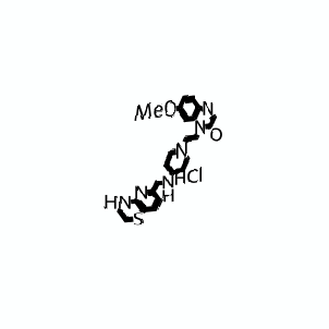 COc1ccc2ncc(=O)n(CCN3CCC(NCc4ccc5c(n4)NCCS5)CC3)c2c1.Cl